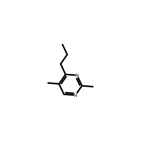 CCCc1nc(C)ncc1C